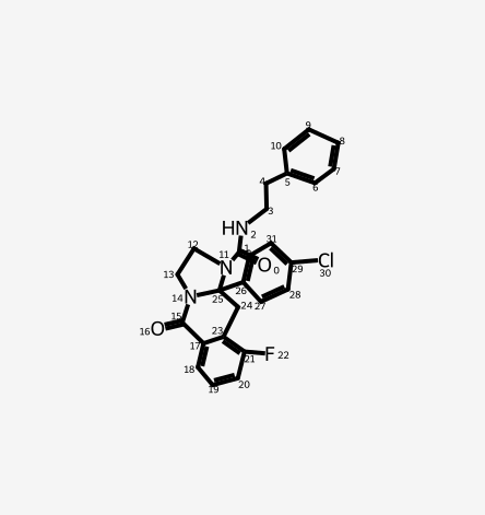 O=C(NCCc1ccccc1)N1CCN2C(=O)c3cccc(F)c3CC12c1ccc(Cl)cc1